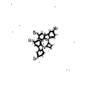 Brc1ccc2c(c1)c1cc(Br)ccc1n2C1CCC1n1c2ccc(Br)cc2c2cc(Br)ccc21